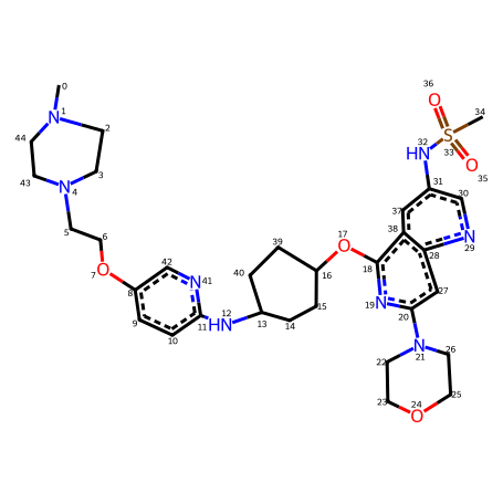 CN1CCN(CCOc2ccc(NC3CCC(Oc4nc(N5CCOCC5)cc5ncc(NS(C)(=O)=O)cc45)CC3)nc2)CC1